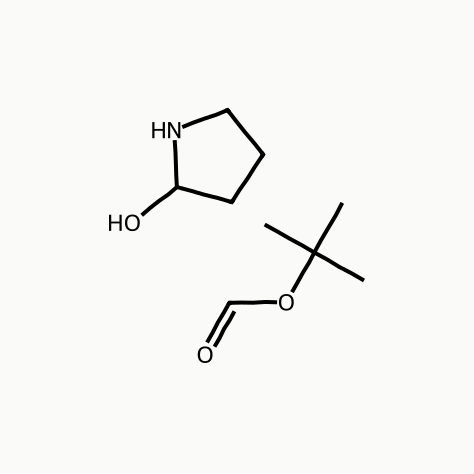 CC(C)(C)OC=O.OC1CCCN1